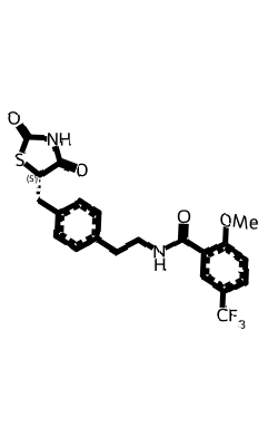 COc1ccc(C(F)(F)F)cc1C(=O)NCCc1ccc(C[C@@H]2SC(=O)NC2=O)cc1